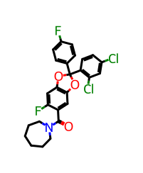 O=C(c1cc2c(cc1F)OC(c1ccc(F)cc1)(c1ccc(Cl)cc1Cl)O2)N1CCCCCC1